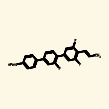 C/C=C/c1c(F)cc(-c2ccc(-c3ccc(CCCCC)cc3)cc2F)cc1F